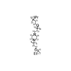 CCC(C)(C)OCCC(C)(C)N1CCN(CCC(C)(C)OCCC(C)(C)C(C)C)CC1